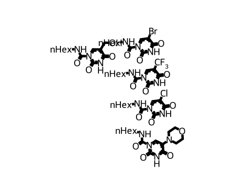 CCCCCCNC(=O)n1cc(Br)c(=O)[nH]c1=O.CCCCCCNC(=O)n1cc(C(F)(F)F)c(=O)[nH]c1=O.CCCCCCNC(=O)n1cc(CO)c(=O)[nH]c1=O.CCCCCCNC(=O)n1cc(Cl)c(=O)[nH]c1=O.CCCCCCNC(=O)n1cc(N2CCOCC2)c(=O)[nH]c1=O